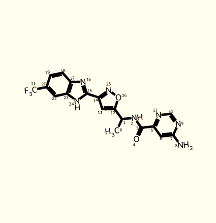 CC(NC(=O)c1cc(N)ncn1)c1cc(-c2nc3ccc(C(F)(F)F)cc3[nH]2)no1